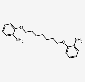 Nc1ccccc1OCCCCCCCOc1ccccc1N